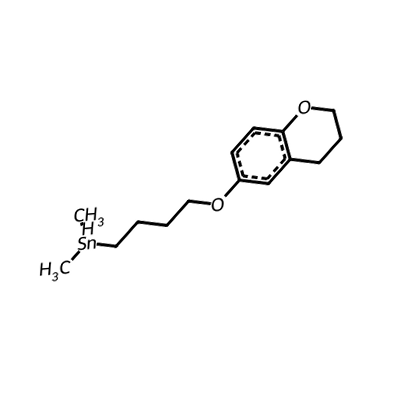 [CH3][SnH]([CH3])[CH2]CCCOc1ccc2c(c1)CCCO2